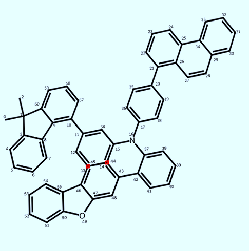 CC1(C)c2ccccc2-c2c(-c3cccc(N(c4ccc(-c5cccc6c5ccc5ccccc56)cc4)c4ccccc4-c4ccc5c(c4)oc4ccccc45)c3)cccc21